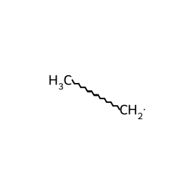 [CH2]CCCCCCCC=CC=CCCCCCC